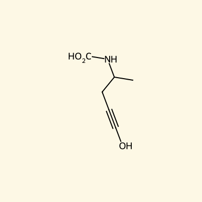 CC(CC#CO)NC(=O)O